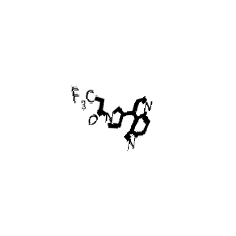 O=C(CC(F)(F)F)N1CCC(c2ccnc3c2=C2C=NC2CC=3)C1